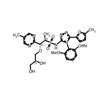 COc1cccc(OC)c1-n1c(NS(=O)(=O)[C@H](C)[C@H](OC[C@@H](O)CO)c2ncc(C)cn2)nnc1-c1ccc(C)o1